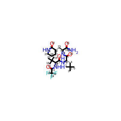 CC(C)(C)C[C@H](NC(=O)[C@@H](NC(=O)C(F)(F)F)C(C)(C)C)C(=O)N[C@@H](C[C@@H]1CCCNC1=O)C(N)=O